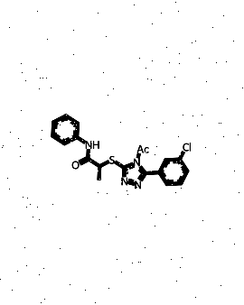 CC(=O)n1c(SC(C)C(=O)Nc2ccccc2)nnc1-c1cccc(Cl)c1